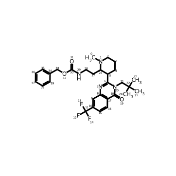 CN1CCCC(c2nc3cc(C(F)(F)F)ccc3c(=O)n2CC(C)(C)C)C1CCNC(=O)OCc1ccccc1